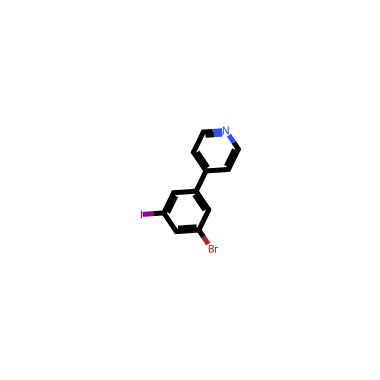 Brc1cc(I)cc(-c2ccncc2)c1